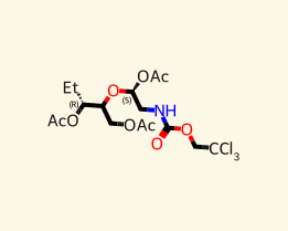 CC[C@@H](OC(C)=O)C(COC(C)=O)O[C@H](CNC(=O)OCC(Cl)(Cl)Cl)OC(C)=O